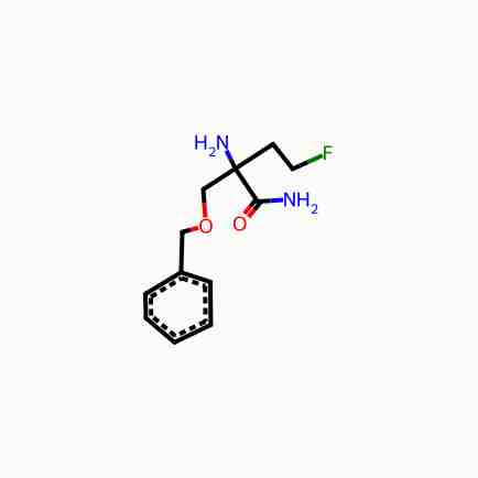 NC(=O)C(N)(CCF)COCc1ccccc1